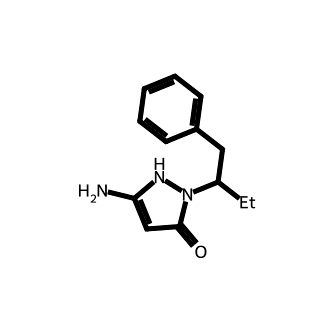 CCC(Cc1ccccc1)n1[nH]c(N)cc1=O